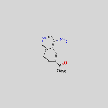 COC(=O)c1ccc2cncc(N)c2c1